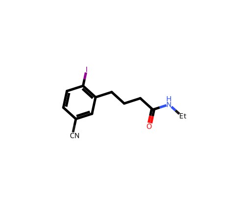 CCNC(=O)CCCc1cc(C#N)ccc1I